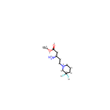 CC(C)(C)OC(=O)CC(N)CCN1CCCC(F)(F)C1